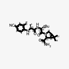 C[C@H](Nc1ccc(C#N)cc1F)C(=O)N[C@H](C(=O)N1CC2C(C1C(N)=O)C2(C)C)C(C)(C)C